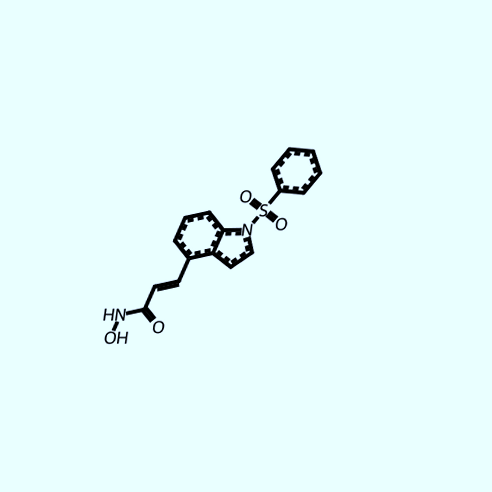 O=C(/C=C/c1cccc2c1ccn2S(=O)(=O)c1ccccc1)NO